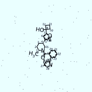 C[C@@H]1CC[C@@H](c2cc(C3(O)CCC3)on2)CN1C(=O)c1ccccc1-n1nccn1